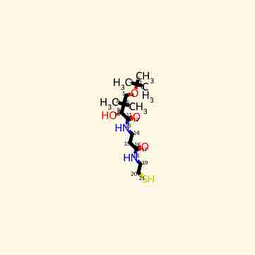 CC(C)(C)OCC(C)(C)[C@@H](O)C(=O)NCCC(=O)NCCS